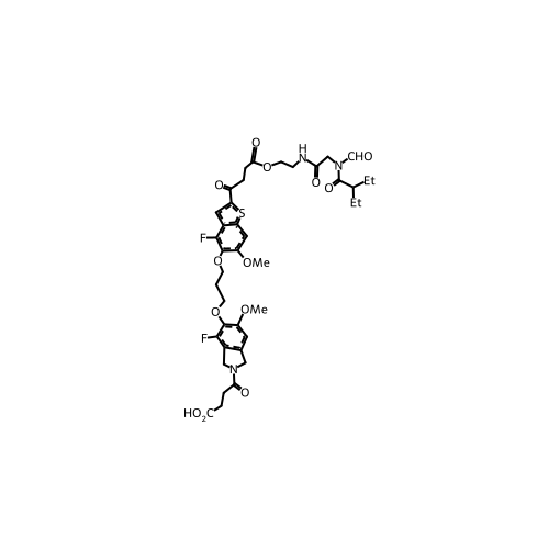 CCC(CC)C(=O)N(C=O)CC(=O)NCCOC(=O)CCC(=O)c1cc2c(F)c(OCCCOc3c(OC)cc4c(c3F)CN(C(=O)CCC(=O)O)C4)c(OC)cc2s1